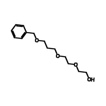 OCCOCCOCCCOCc1ccccc1